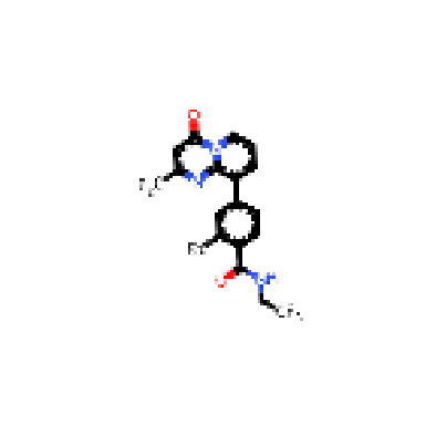 CCc1cc(-c2cccn3c(=O)cc(C(F)(F)F)nc23)ccc1C(=O)NCC(F)(F)F